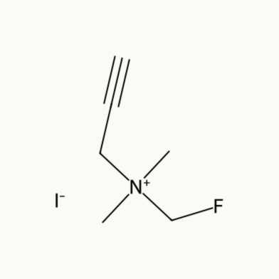 C#CC[N+](C)(C)CF.[I-]